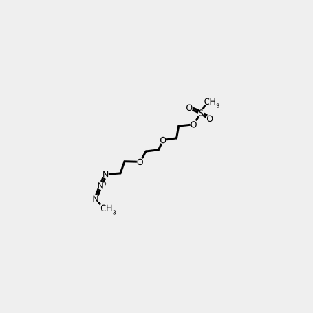 CN=[N+]=NCCOCCOCCOS(C)(=O)=O